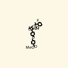 COC(=O)c1ccc(COc2ccc(-c3onc(C)c3NC(=O)OC(C)c3ccccc3F)cc2)cc1